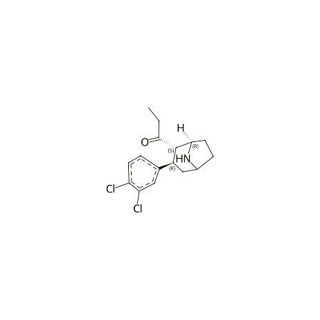 CCC(=O)[C@@H]1[C@H]2CCC(C[C@H]1c1ccc(Cl)c(Cl)c1)N2